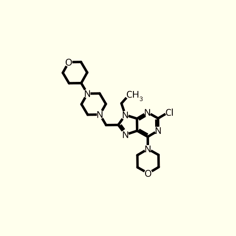 CCn1c(CN2CCN(C3CCOCC3)CC2)nc2c(N3CCOCC3)nc(Cl)nc21